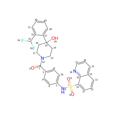 O=C(c1ccc(NS(=O)(=O)c2cccc3cccnc23)cc1)N1CCC(O)(c2ccccc2C(F)F)CC1